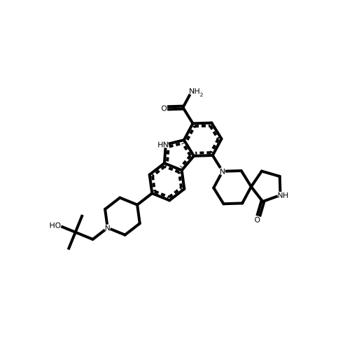 CC(C)(O)CN1CCC(c2ccc3c(c2)[nH]c2c(C(N)=O)ccc(N4CCCC5(CCNC5=O)C4)c23)CC1